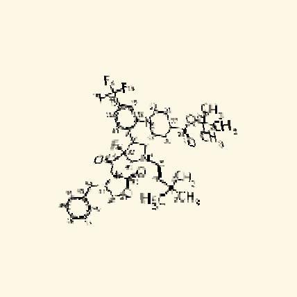 CC(C)(C)/C=C/N1CC(c2ccc(C(F)(F)F)cc2N2CCC(C(=O)OC(C)(C)C)CC2)[C@@](F)(C(=O)N2C(=O)OC[C@H]2Cc2ccccc2)C1